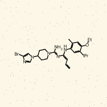 C=C/C=C(\N=C(/N)N1CCC(n2cnc(Br)c2)CC1)Nc1cc(C(C)C)c(OCC)cc1C